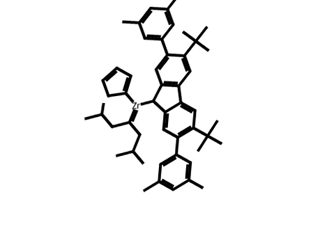 Cc1cc(C)cc(-c2cc3c(cc2C(C)(C)C)-c2cc(C(C)(C)C)c(-c4cc(C)cc(C)c4)cc2[CH]3[Zr]([C]2=CC=CC2)=[C](CC(C)C)CC(C)C)c1